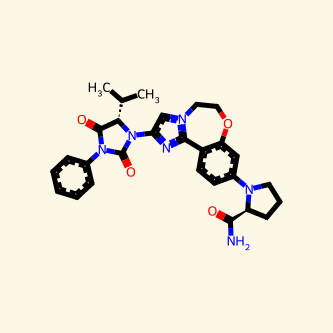 CC(C)[C@H]1C(=O)N(c2ccccc2)C(=O)N1c1cn2c(n1)-c1ccc(N3CCC[C@H]3C(N)=O)cc1OCC2